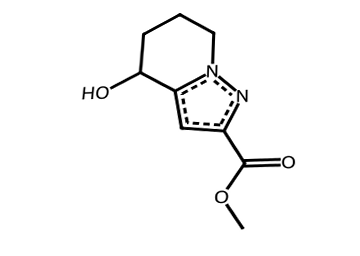 COC(=O)c1cc2n(n1)CCCC2O